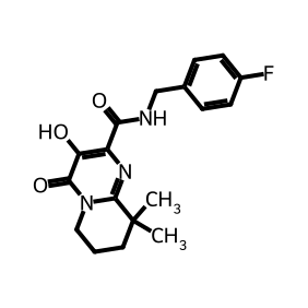 CC1(C)CCCn2c1nc(C(=O)NCc1ccc(F)cc1)c(O)c2=O